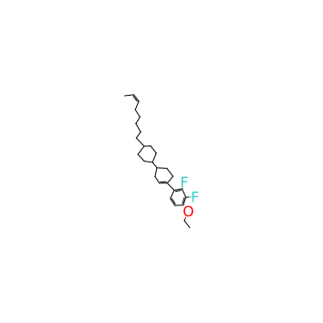 C/C=C\CCCCCC1CCC(C2CC=C(c3ccc(OCC)c(F)c3F)CC2)CC1